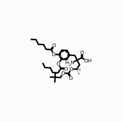 CCCCCC(=O)Oc1ccc(CC(N)(C[C@H](C)OC(=O)OCC(C)(C)C)C(=O)O)cc1OC(=O)CCCCC